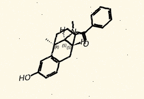 CC1CC[C@]2(C)c3cc(O)ccc3C[C@@H]1[C@@H]2N(C)C(=O)c1ccccc1